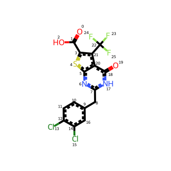 O=C(O)c1sc2nc(Cc3ccc(Cl)c(Cl)c3)[nH]c(=O)c2c1C(F)(F)F